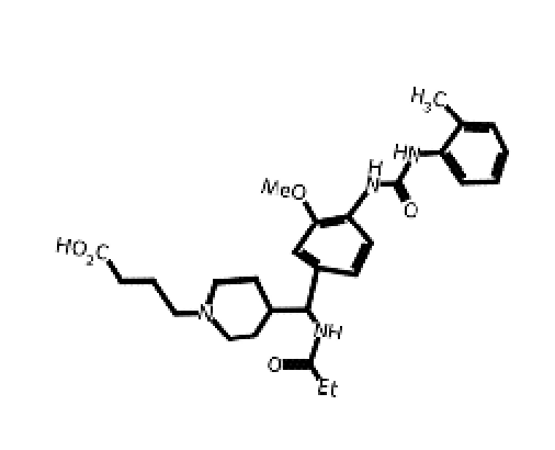 CCC(=O)NC(c1ccc(NC(=O)Nc2ccccc2C)c(OC)c1)C1CCN(CCCC(=O)O)CC1